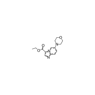 CCOC(=O)c1cnc2ccc(N3CCOCC3)cn12